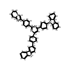 c1ccc2c(c1)sc1ccc(-c3ccc(-c4cc(-c5ccc(-n6c7ccccc7c7ccccc76)cc5)nc(-c5ccc(-c6cn7ccccc7n6)cc5)n4)cc3)cc12